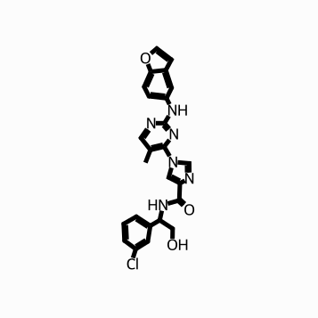 Cc1cnc(Nc2ccc3occc3c2)nc1-n1cnc(C(=O)NC(CO)c2cccc(Cl)c2)c1